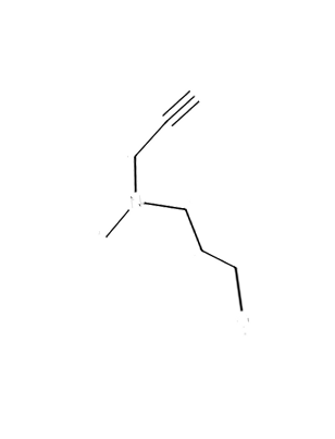 C#CCN(C)CCC[O]